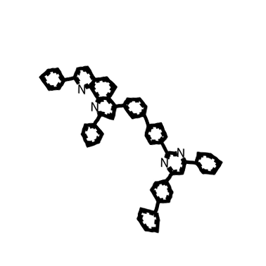 c1ccc(-c2ccc(-c3cc(-c4ccccc4)nc(-c4ccc(-c5cccc(-c6cc(-c7ccccc7)nc7c6ccc6ccc(-c8ccccc8)nc67)c5)cc4)n3)cc2)cc1